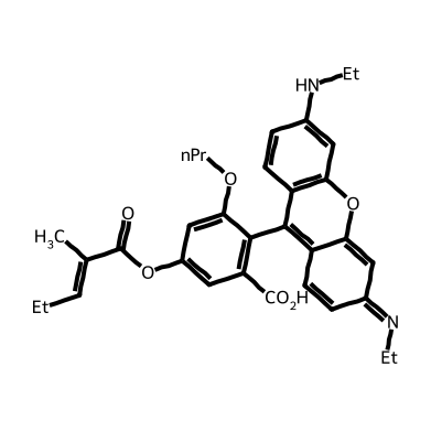 CCC=C(C)C(=O)Oc1cc(OCCC)c(-c2c3ccc(=NCC)cc-3oc3cc(NCC)ccc23)c(C(=O)O)c1